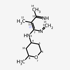 C=N/C(NC1CCOC(C)C1)=C(/C)C(C)=N